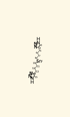 c1[nH]nnc1CCC[CH2][Sn][CH2]CCCc1c[nH]nn1